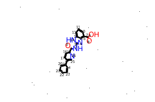 O=C(Nc1nc2c(C(=O)O)cccc2[nH]1)c1ccc(-c2ccccc2)cn1